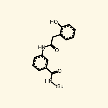 CC(C)(C)NC(=O)c1cccc(NC(=O)Cc2ccccc2O)c1